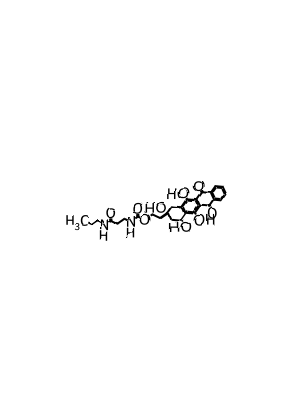 CCCNC(=O)CCNC(=O)OCCC1(O)Cc2c(O)c3c(c(O)c2[C@@H](O)C1)C(=O)c1ccccc1C3=O